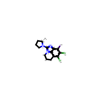 C[C@H]1CCCN1c1nc2c(I)c(Br)c(Br)c3c2n1CCC3